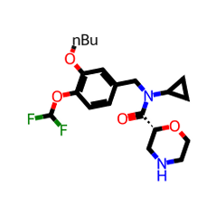 CCCCOc1cc(CN(C(=O)[C@H]2CNCCO2)C2CC2)ccc1OC(F)F